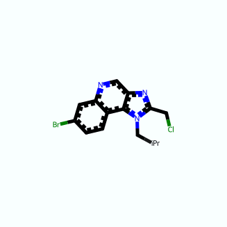 CC(C)Cn1c(CCl)nc2cnc3cc(Br)ccc3c21